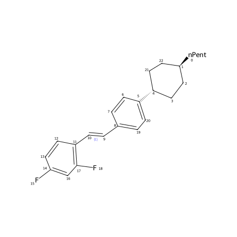 CCCCC[C@H]1CC[C@H](c2ccc(/C=C/c3ccc(F)cc3F)cc2)CC1